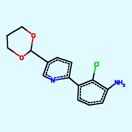 Nc1cccc(-c2ccc(C3OCCCO3)cn2)c1Cl